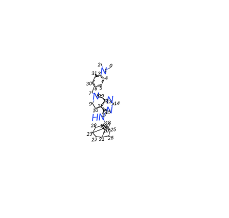 CN(C)c1ccc(CN2CCc3c(ncnc3NCC34CC5CC(CC(C5)C3)C4)C2)cc1